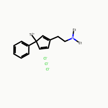 CCN(CC)CCC1=C[C]([Ti+3])(c2ccccc2)C=C1.[Cl-].[Cl-].[Cl-]